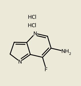 Cl.Cl.Nc1cnc2c(c1F)=NCC=2